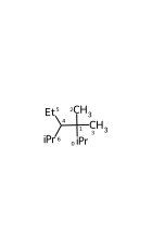 [CH2]C(C)C(C)(C)C(CC)C(C)C